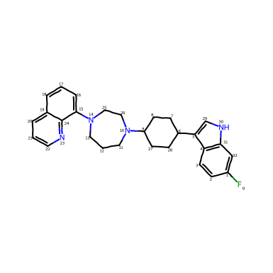 Fc1ccc2c(C3CCC(N4CCCN(c5cccc6cccnc56)CC4)CC3)c[nH]c2c1